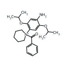 CC(C)Oc1cc([N+]2(C(=O)c3ccccc3)CCCCC2)c(OC(C)C)cc1N